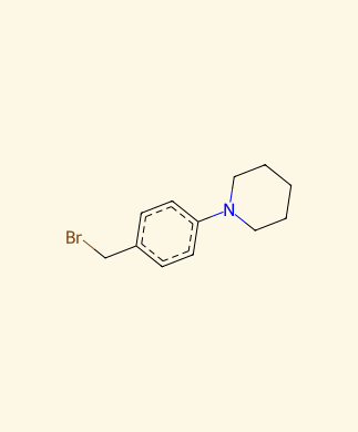 BrCc1ccc(N2CCCCC2)cc1